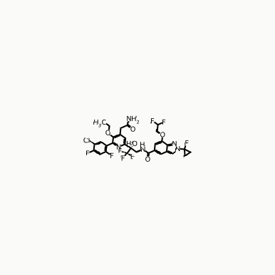 CCOc1c(CC(N)=O)cc([C@@](O)(CNC(=O)c2cc(OCC(F)F)c3nn(C4(F)CC4)cc3c2)C(F)(F)F)nc1-c1cc(Cl)c(F)cc1F